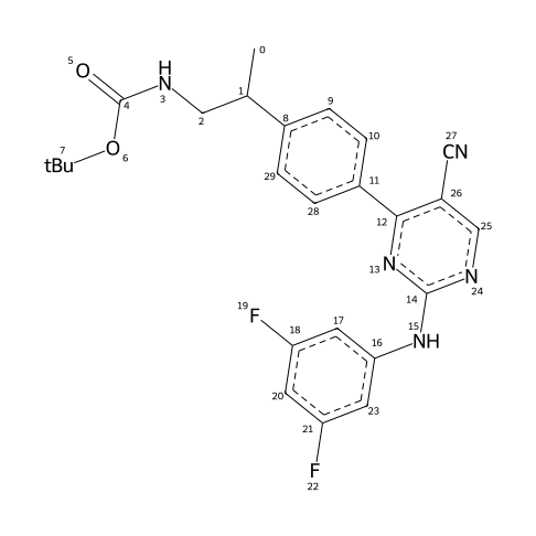 CC(CNC(=O)OC(C)(C)C)c1ccc(-c2nc(Nc3cc(F)cc(F)c3)ncc2C#N)cc1